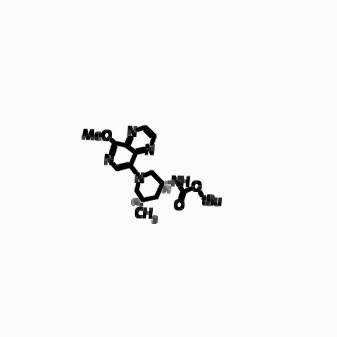 COc1ncc(N2C[C@@H](C)C[C@@H](NC(=O)OC(C)(C)C)C2)c2nccnc12